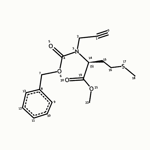 C#CCN(C(=O)OCc1ccccc1)[C@@H](CCSC)C(=O)OC